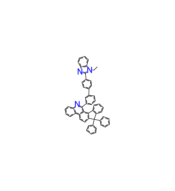 CCn1c(-c2ccc(-c3cccc(-c4nc5ccccc5c5ccc6c(c45)-c4ccccc4C6(c4ccccc4)c4ccccc4)c3)cc2)nc2ccccc21